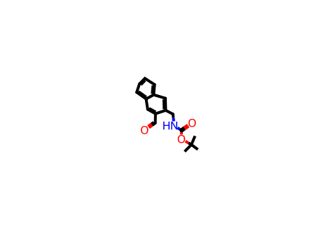 CC(C)(C)OC(=O)NCc1cc2ccccc2cc1C=O